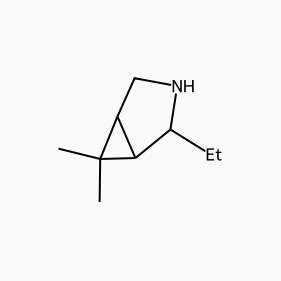 CCC1NCC2C1C2(C)C